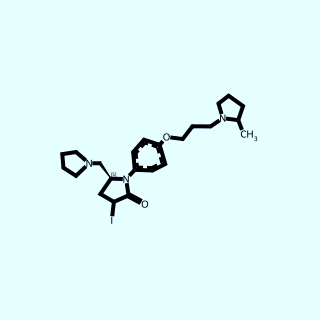 CC1CCCN1CCCOc1ccc(N2C(=O)C(I)C[C@H]2CN2CCCC2)cc1